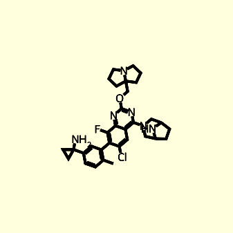 Cc1ccc(C2(N)CC2)cc1-c1c(Cl)cc2c(N3CC4CCC(C3)N4)nc(OCC34CCCN3CCC4)nc2c1F